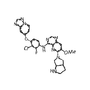 COc1cc2ncnc(Nc3ccc(Oc4ccn5ncnc5c4)c(Cl)c3F)c2nc1N1CC2CCNC2C1